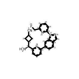 N#CC1CC([C@H](N)c2cccc(-c3ccc4cnn(-c5cccc(CF)n5)c4c3)n2)C1